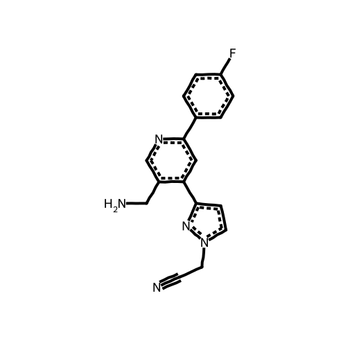 N#CCn1ccc(-c2cc(-c3ccc(F)cc3)ncc2CN)n1